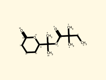 CCC(C)(C)C(=O)OC(C)(C)C1CCCC(=O)O1